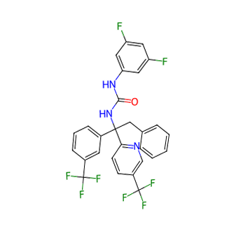 O=C(Nc1cc(F)cc(F)c1)NC(Cc1ccccc1)(c1cccc(C(F)(F)F)c1)c1ccc(C(F)(F)F)cn1